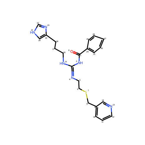 O=C(NC(=NCCSCc1cccnc1)NCCCc1c[nH]cn1)c1ccccc1